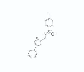 Cc1ccc([S+]([O-])N=Cc2cc(-c3ccccc3)cs2)cc1